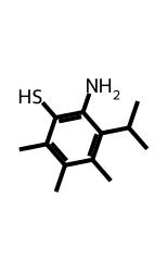 Cc1c(C)c(S)c(N)c(C(C)C)c1C